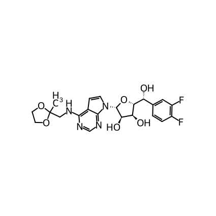 CC1(CNc2ncnc3c2ccn3[C@@H]2O[C@H]([C@H](O)c3ccc(F)c(F)c3)[C@@H](O)[C@H]2O)OCCO1